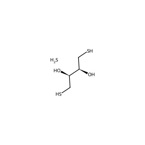 O[C@H](CS)[C@H](O)CS.S